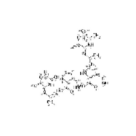 CC(C)N=C(NC(C)C)C(=O)[O-].CC(C)N=C(NC(C)C)C(=O)[O-].N=Cc1cc[nH]c1C(=O)O.N=Cc1cc[nH]c1C(=O)O.[Co+2]